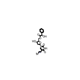 O=C(OC[C@H]1O[C@@H](n2cc(/C=C/Br)c(=O)[nH]c2=O)C[C@@H]1O)[C@H](O)c1ccccc1